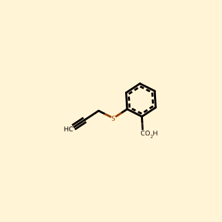 C#CCSc1ccccc1C(=O)O